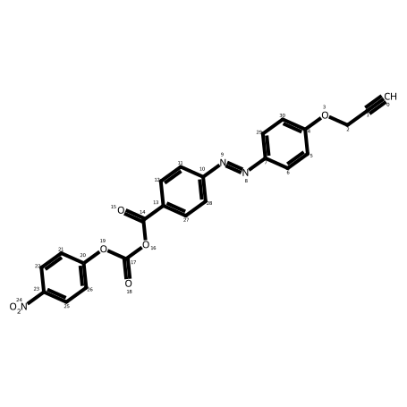 C#CCOc1ccc(N=Nc2ccc(C(=O)OC(=O)Oc3ccc([N+](=O)[O-])cc3)cc2)cc1